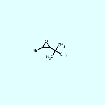 CC(C)(C)C1OC1Br